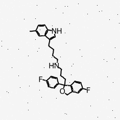 Cc1ccc2[nH]cc(CCCCNCCCC3(c4ccc(F)cc4)OCc4cc(F)ccc43)c2c1